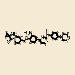 Nc1cc(-c2ccnc(Nc3ccc(N4CCOCC4)cc3)n2)ccc1OCC1CCN(C(=O)C2(N)CC2)CC1